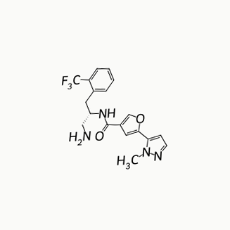 Cn1nccc1-c1cc(C(=O)N[C@H](CN)Cc2ccccc2C(F)(F)F)co1